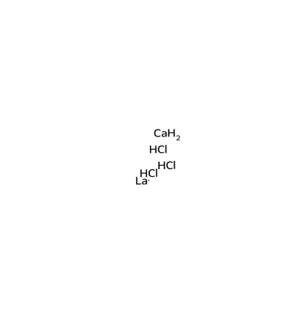 Cl.Cl.Cl.[CaH2].[La]